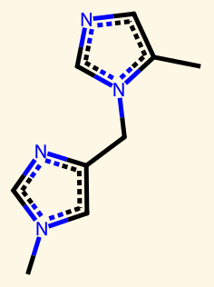 Cc1cncn1Cc1cn(C)cn1